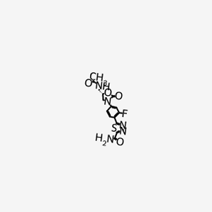 CC(=O)NC[C@H]1CN(c2ccc(-c3nnc(C(N)=O)s3)c(F)c2)C(=O)O1